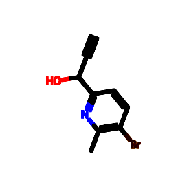 C#CC(O)c1ccc(Br)c(C)n1